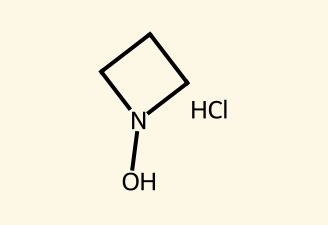 Cl.ON1CCC1